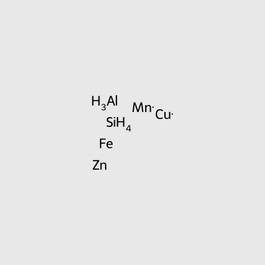 [AlH3].[Cu].[Fe].[Mn].[SiH4].[Zn]